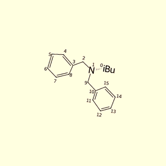 CC[C@@H](C)N(Cc1ccccc1)Cc1ccccc1